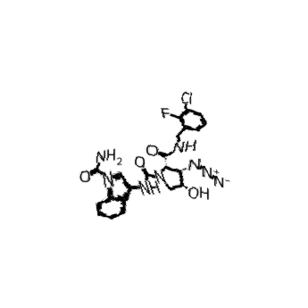 [N-]=[N+]=N[C@H]1[C@@H](C(=O)NCc2cccc(Cl)c2F)N(C(=O)Nc2cn(C(N)=O)c3ccccc23)C[C@@H]1O